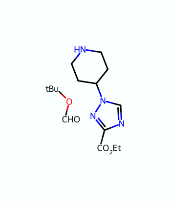 CC(C)(C)OC=O.CCOC(=O)c1ncn(C2CCNCC2)n1